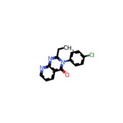 CCc1nc2ncccc2c(=O)n1-c1ccc(Cl)cc1